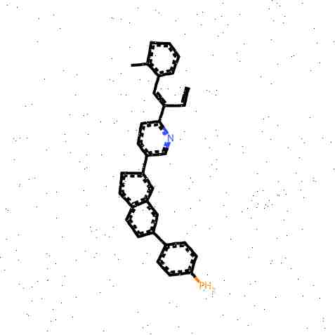 C=C/C(=C\c1ccccc1C)c1ccc(-c2ccc3ccc(-c4ccc(P)cc4)cc3c2)cn1